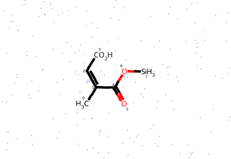 C/C(=C/C(=O)O)C(=O)O[SiH3]